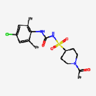 CC(C)C(=O)N1CCC(S(=O)(=O)NC(=O)Nc2c(C(C)C)cc(Cl)cc2C(C)C)CC1